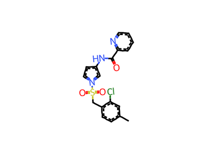 Cc1ccc(CS(=O)(=O)n2ccc(NC(=O)c3ccccn3)c2)c(Cl)c1